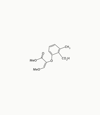 CO/C=C(/Oc1cccc(C)c1C(=O)O)C(=O)OC